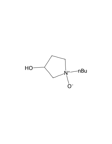 CCCC[N+]1([O-])CCC(O)C1